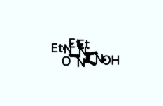 CCN(CC)C(=O)c1nc2c(n1CC)CN(O)C2